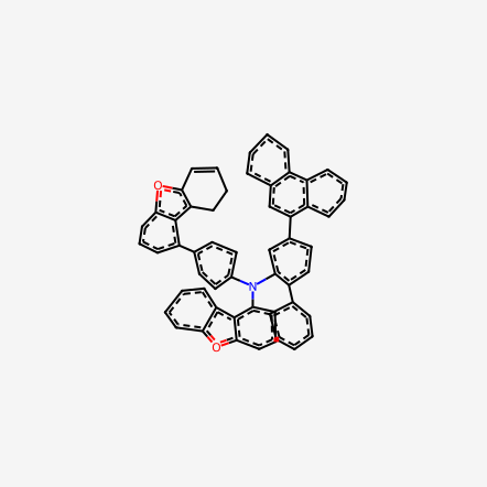 C1=Cc2oc3cccc(-c4ccc(N(c5cc(-c6cc7ccccc7c7ccccc67)ccc5-c5ccccc5)c5cccc6oc7ccccc7c56)cc4)c3c2CC1